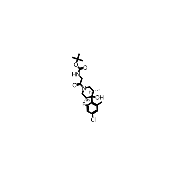 Cc1cc(Cl)cc(F)c1C1(O)[C@H](C)CN(C(=O)CNC(=O)OC(C)(C)C)C[C@@H]1C